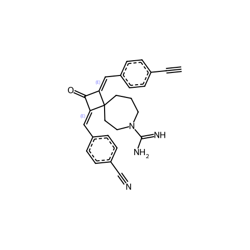 C#Cc1ccc(/C=C2/C(=O)/C(=C/c3ccc(C#N)cc3)C23CCCN(C(=N)N)CC3)cc1